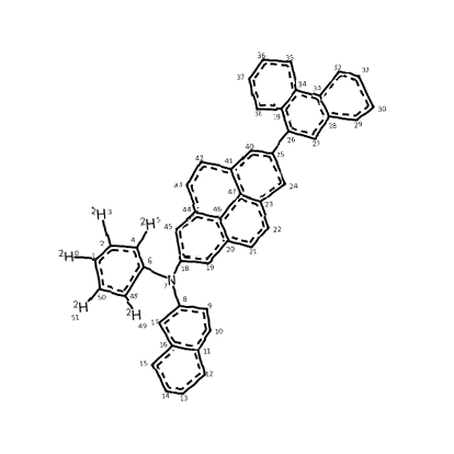 [2H]c1c([2H])c([2H])c(N(c2ccc3ccccc3c2)c2cc3ccc4cc(-c5cc6ccccc6c6ccccc56)cc5ccc(c2)c3c45)c([2H])c1[2H]